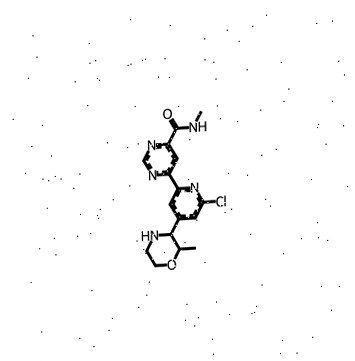 CNC(=O)c1cc(-c2cc(C3NCCOC3C)cc(Cl)n2)ncn1